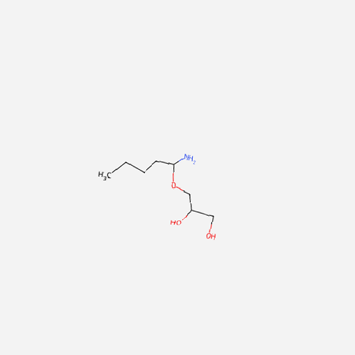 CCCCC(N)OCC(O)CO